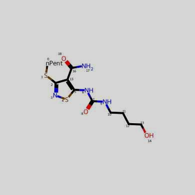 CCCCCSc1nsc(NC(=O)NCCCCO)c1C(N)=O